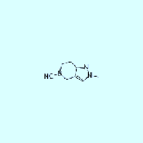 Cn1cc2c(n1)CCB(C#N)C2